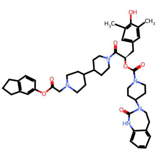 Cc1cc(C[C@@H](OC(=O)N2CCC(N3CCc4ccccc4NC3=O)CC2)C(=O)N2CCC(C3CCN(CC(=O)Oc4ccc5c(c4)CCC5)CC3)CC2)cc(C)c1O